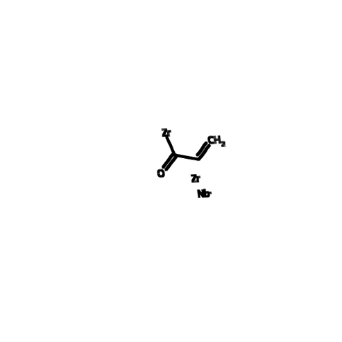 C=C[C](=O)[Zr].[Nb].[Zr]